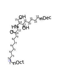 CCCCCCCC/C=C\CCCCCCCC(=O)CNC(CO)C(O)CCCCCCCCCCCCCCC